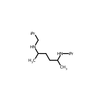 CC(C)CNC(C)CCC(C)NC(C)C